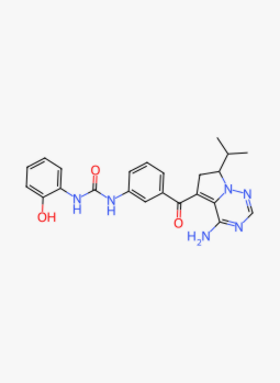 CC(C)C1CC(C(=O)c2cccc(NC(=O)Nc3ccccc3O)c2)=C2C(N)=NC=NN21